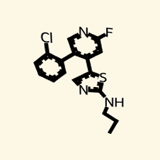 CCCNc1ncc(-c2cc(F)ncc2-c2ccccc2Cl)s1